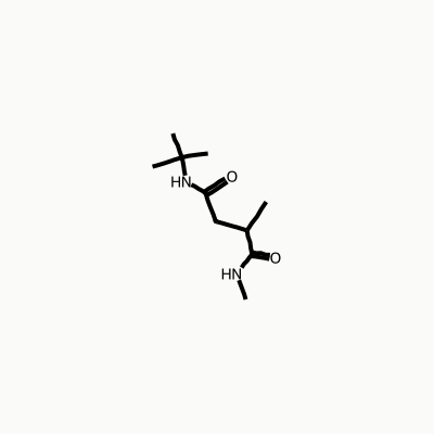 CNC(=O)C(C)CC(=O)NC(C)(C)C